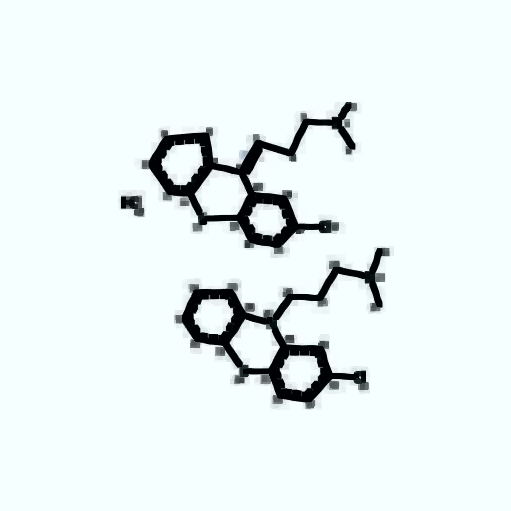 CN(C)CC/C=C1/c2ccccc2Sc2ccc(Cl)cc21.CN(C)CCCN1c2ccccc2Sc2ccc(Cl)cc21.Cl